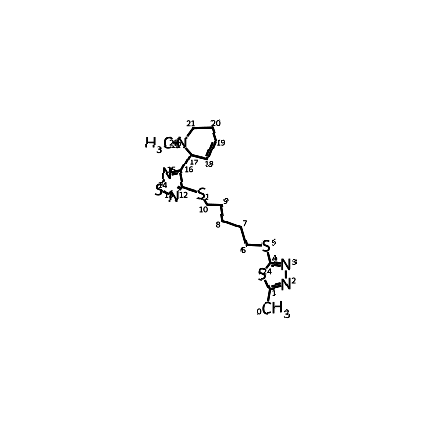 Cc1nnc(SCCCCCSc2nsnc2C2C=CCCN2C)s1